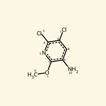 COc1nc(Cl)c(Cl)cc1N